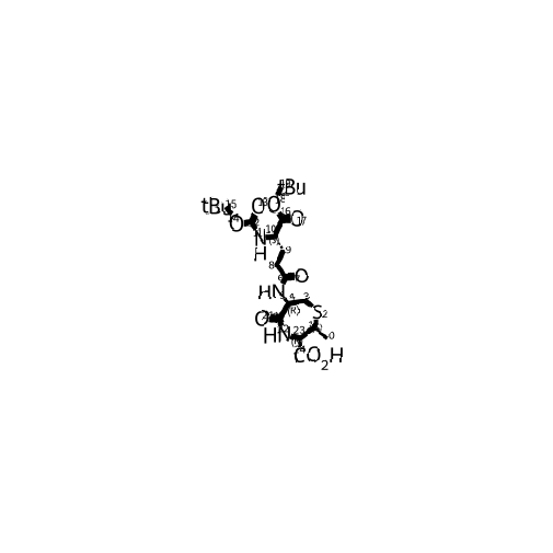 C[C@@H]1SC[C@H](NC(=O)CC[C@H](NC(=O)OC(C)(C)C)C(=O)OC(C)(C)C)C(=O)N[C@@H]1C(=O)O